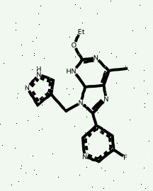 CCOC1=NC(C)=C2N=C(c3cncc(F)c3)N(Cc3cn[nH]c3)C2N1